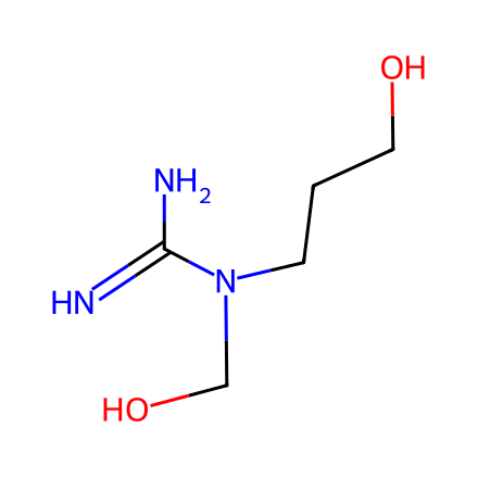 N=C(N)N(CO)CCCO